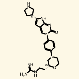 N=C(N)NCC[C@@H]1CN(c2ccc(-n3cc4cc([C@@H]5CCNC5)[nH]c4nc3=O)cc2)CCO1